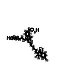 CC[N+]1=C(/C=C/C=C/C=C/C=C2/N(CCCSOOO)c3ccc(S(=O)(=O)O)cc3C2(C)C)C(C)(C)c2cc(C)ccc21